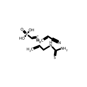 C=CC#N.C=CCNC(N)=S.C=CP(=O)(O)O